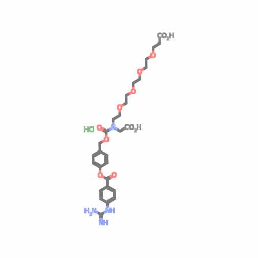 Cl.N=C(N)Nc1ccc(C(=O)Oc2ccc(COC(=O)N(CCOCCOCCOCCOCCC(=O)O)CC(=O)O)cc2)cc1